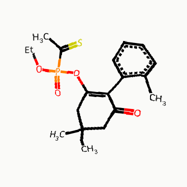 CCOP(=O)(OC1=C(c2ccccc2C)C(=O)CC(C)(C)C1)C(C)=S